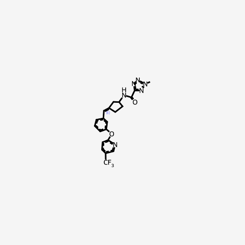 Cn1nnc(C(=O)NC2CC/C(=C\c3cccc(Oc4ccc(C(F)(F)F)cn4)c3)C2)n1